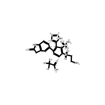 NCCS(=O)(=O)c1ccc(-c2ccc3c(c2)CC(=O)N3)c(-c2nnn[nH]2)c1S(N)(=O)=O.O=C(O)C(F)(F)F